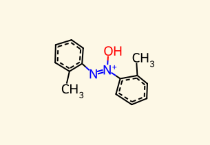 Cc1ccccc1N=[N+](O)c1ccccc1C